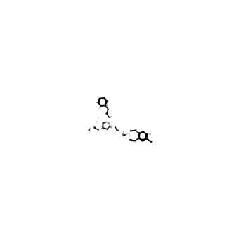 COC(=O)C[C@@H]1C[C@@H](CCNC(=O)N2CCc3ccc(C#N)cc3CC2)N(CCCc2ccccc2)C1=O